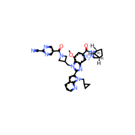 COc1cc(C(=O)N2C[C@H]3CC[C@@H]2[C@@H]3N)cc2nc(-c3cc4cccnc4n3CC3CC3)n(CC3CN(C(=O)c4cnc(C#N)nc4)C3)c12